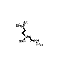 CCN(CC)CCN(CCNC(C)(C)C)C(C)(C)C